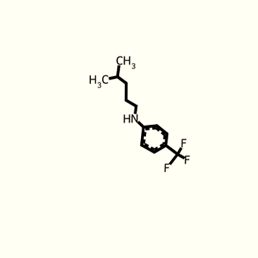 CC(C)CCCNc1ccc(C(F)(F)F)cc1